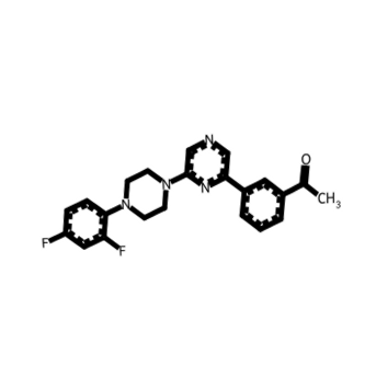 CC(=O)c1cccc(-c2cncc(N3CCN(c4ccc(F)cc4F)CC3)n2)c1